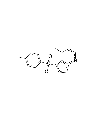 Cc1ccc(S(=O)(=O)n2ccc3nccc(C)c32)cc1